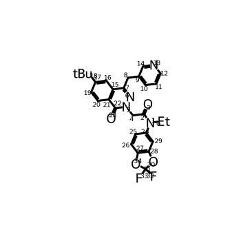 CCN(C(=O)Cn1nc(Cc2cccnc2)c2cc(C(C)(C)C)ccc2c1=O)c1ccc2c(c1)OC(F)(F)O2